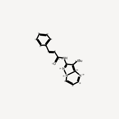 CC(C)(C)c1c(NC(=O)C=Cc2ccccc2)nn2cccnc12